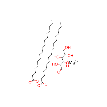 CCCCCCCCCCCCCCCCCC(=O)[O-].CCCCCCCCCCCCCCCCCC(=O)[O-].O=CC(O)C(O)C(O)C(O)CO.[Mg+2]